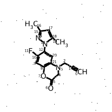 C#CCN1CC(=O)Oc2cc(F)c(-n3nc(C)cc3C)cc21